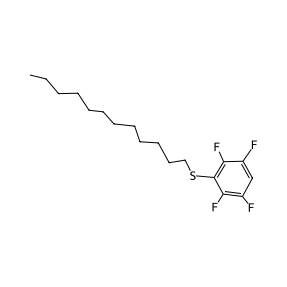 CCCCCCCCCCCCSc1c(F)c(F)cc(F)c1F